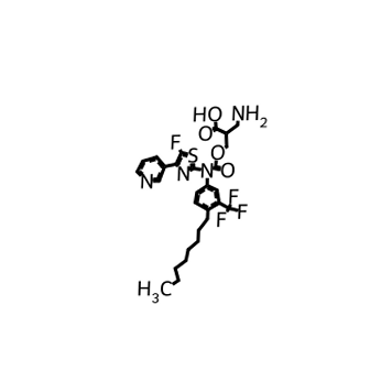 CCCCCCCCc1ccc(N(C(=O)OCC(CN)C(=O)O)c2nc(-c3cccnc3)c(F)s2)cc1C(F)(F)F